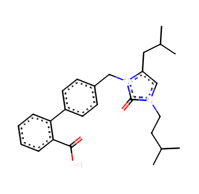 CC(C)CCn1cc(CC(C)C)n(Cc2ccc(-c3ccccc3C(=O)O)cc2)c1=O